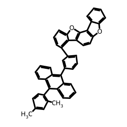 Cc1ccc(-c2c3ccccc3c(-c3cccc(-c4cccc5oc6c(ccc7oc8ccccc8c76)c45)c3)c3ccccc23)c(C)c1